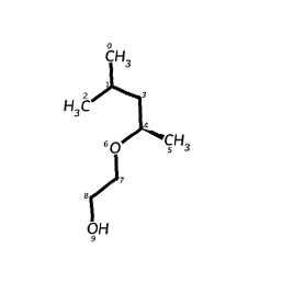 CC(C)C[C@@H](C)OCCO